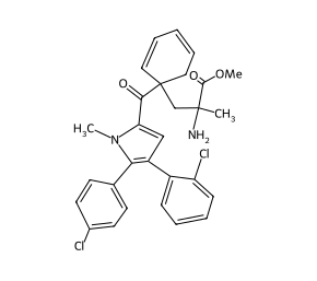 COC(=O)C(C)(N)CC1(C(=O)c2cc(-c3ccccc3Cl)c(-c3ccc(Cl)cc3)n2C)C=CC=CC1